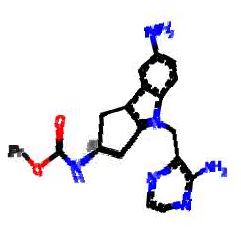 CC(C)OC(=O)N[C@H]1Cc2c(n(Cc3nccnc3N)c3ccc(N)cc23)C1